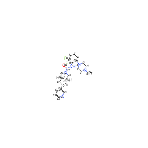 CC(C)N1CCN([C@H]2CCCC(F)(F)[C@@H]2NC(=O)N2C[C@H]3CC(c4cccnc4)C[C@H]3C2)CC1